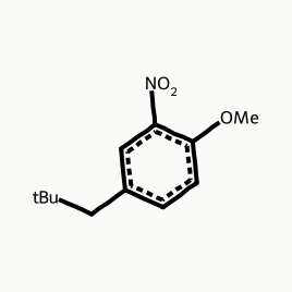 COc1ccc(CC(C)(C)C)cc1[N+](=O)[O-]